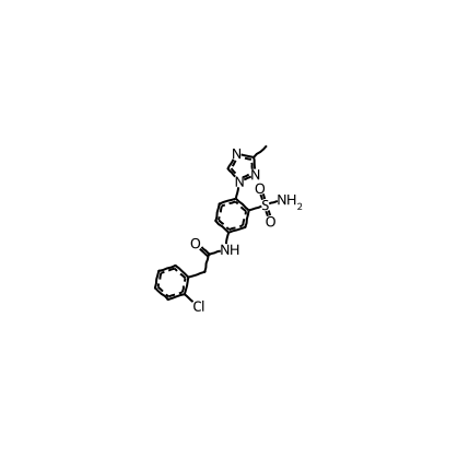 Cc1ncn(-c2ccc(NC(=O)Cc3ccccc3Cl)cc2S(N)(=O)=O)n1